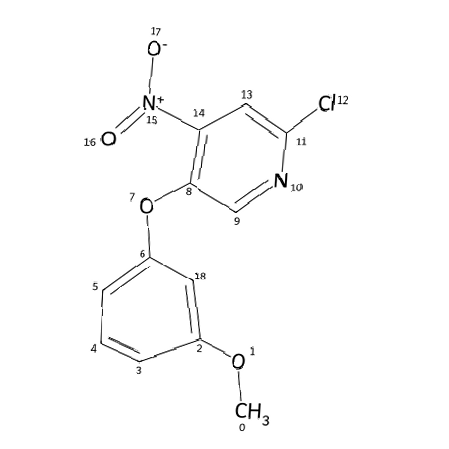 COc1cccc(Oc2cnc(Cl)cc2[N+](=O)[O-])c1